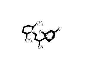 CC1CCCC(C)N1CCC(C#N)c1ccc(Cl)cc1Cl